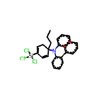 CCCC1(N(c2ccccc2)c2ccccc2-c2ccccc2)C=CC([Si](Cl)(Cl)Cl)=CC1